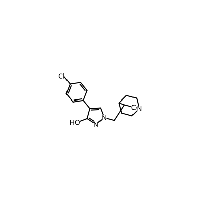 Oc1nn(CC2CN3CCC2CC3)cc1-c1ccc(Cl)cc1